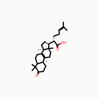 CC(C)=CCC[C@H](C(=O)O)[C@@H]1CC[C@]2(C)C3=C(CCC12C)[C@@]1(C)CCC(=O)C(C)(C)C1CC3